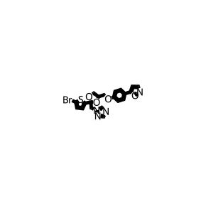 Brc1ccc(C2(Cn3cncn3)OCC(COc3ccc(-c4ccno4)cc3)O2)s1